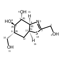 OCC1=N[C@@H]2[C@@H](O)[C@H](O)[C@@H](CO)C[C@@H]2S1